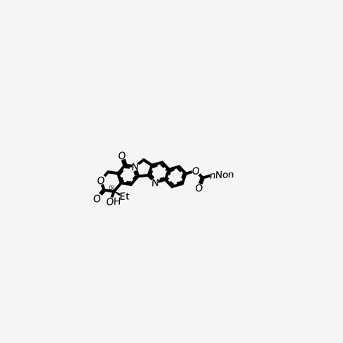 CCCCCCCCCC(=O)Oc1ccc2nc3c(cc2c1)Cn1c-3cc2c(c1=O)COC(=O)[C@]2(O)CC